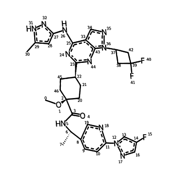 CO[C@]1(C(=O)N[C@@H](C)c2ccc(-n3cc(F)cn3)nc2)CC[C@H](c2nc(Nc3cc(C)[nH]n3)c3cnn(C4CC(F)(F)C4)c3n2)CC1